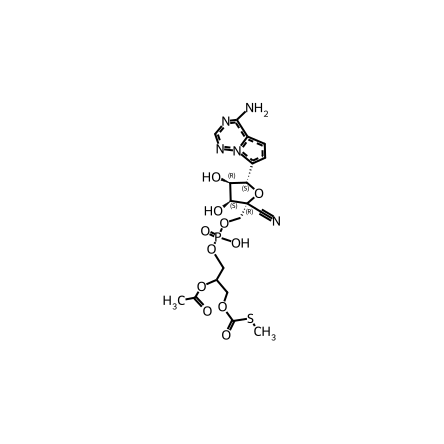 CSC(=O)OCC(COP(=O)(O)OC[C@@]1(C#N)O[C@@H](c2ccc3c(N)ncnn23)[C@H](O)[C@@H]1O)OC(C)=O